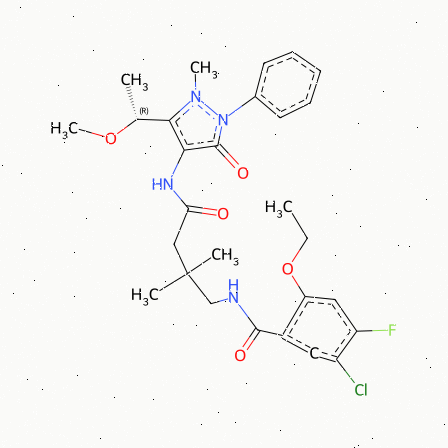 CCOc1cc(F)c(Cl)cc1C(=O)NCC(C)(C)CC(=O)Nc1c([C@@H](C)OC)n(C)n(-c2ccccc2)c1=O